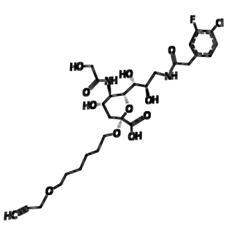 C#CCOCCCCCCO[C@]1(C(=O)O)C[C@H](O)[C@@H](NC(=O)CO)[C@H]([C@H](O)[C@H](O)CNC(=O)Cc2ccc(Cl)c(F)c2)O1